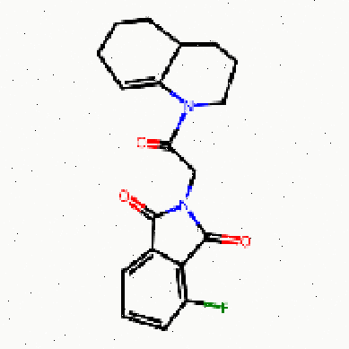 O=C(CN1C(=O)c2cccc(F)c2C1=O)N1CCCC2CCCC=C21